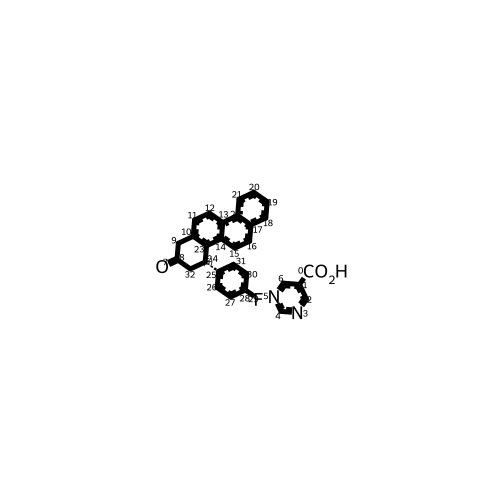 O=C(O)c1cncnc1.O=C1Cc2ccc3c(ccc4ccccc43)c2[C@H](c2ccc(F)cc2)C1